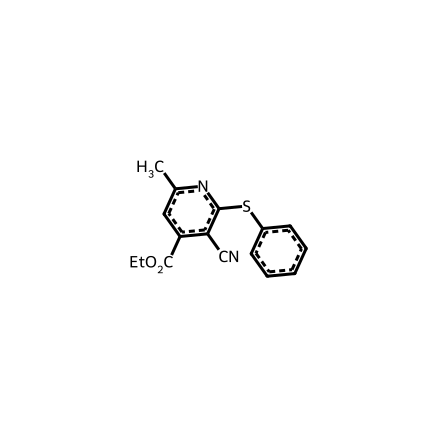 CCOC(=O)c1cc(C)nc(Sc2ccccc2)c1C#N